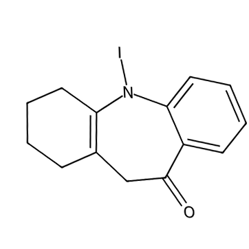 O=C1CC2=C(CCCC2)N(I)c2ccccc21